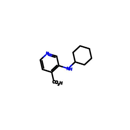 O=C(O)c1ccncc1NC1CCCCC1